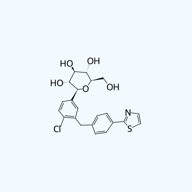 OC[C@H]1O[C@@H](c2ccc(Cl)c(Cc3ccc(-c4nccs4)cc3)c2)[C@H](O)[C@@H](O)[C@@H]1O